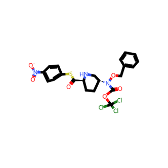 O=C(Sc1ccc([N+](=O)[O-])cc1)[C@@H]1CC[C@@H](N(OCc2ccccc2)C(=O)OC(Cl)(Cl)Cl)CN1